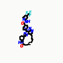 Nc1ncc2c3c1c(-c1ccc(C(=O)Nc4cc(C(F)(F)F)ccn4)cc1)nn3[C@@H]1CCC[C@H](C1)NC(=O)CCCC/C=C/C2